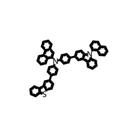 c1ccc2c(-n3c4ccccc4c4cc(-c5ccc(N(c6ccc(-c7ccc8sc9ccccc9c8c7)cc6)c6cc7ccccc7c7ccccc67)cc5)ccc43)cccc2c1